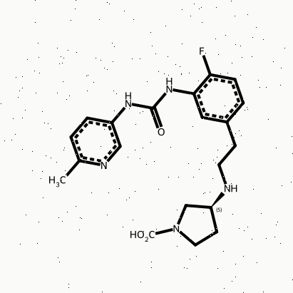 Cc1ccc(NC(=O)Nc2cc(CCN[C@H]3CCN(C(=O)O)C3)ccc2F)cn1